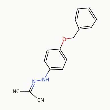 N#CC(C#N)=NNc1ccc(OCc2ccccc2)cc1